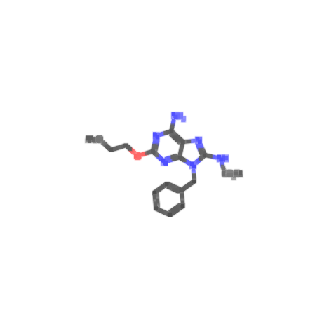 CCOC(=O)Nc1nc2c(N)nc(OCCOC)nc2n1Cc1ccccc1